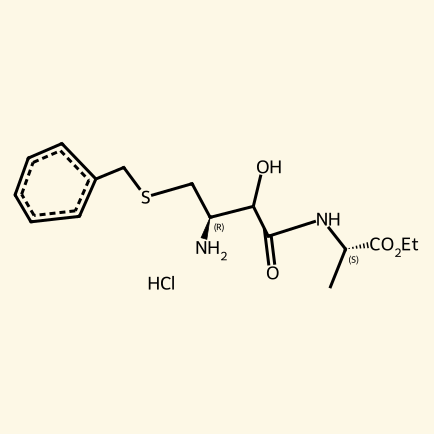 CCOC(=O)[C@H](C)NC(=O)C(O)[C@@H](N)CSCc1ccccc1.Cl